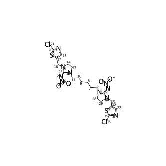 O=[N+]([O-])/N=C1\N(CCCCCCN2CCN(Cc3cnc(Cl)s3)/C2=N/[N+](=O)[O-])CCN1Cc1cnc(Cl)s1